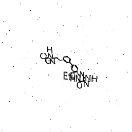 CCOc1cc(-c2cccc(CCc3noc(=O)[nH]3)c2)ccc1-c1nc2[nH]cnc2c(=O)[nH]1